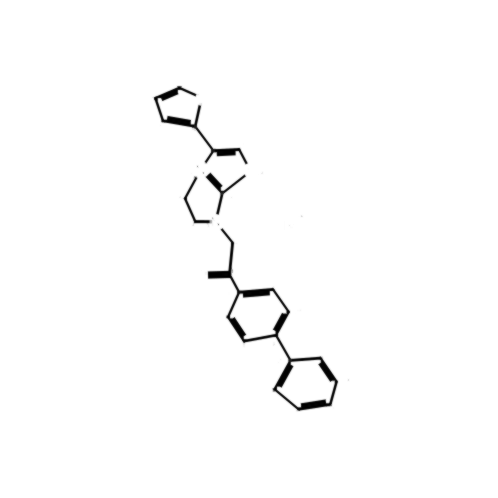 O=C(CN1CC[n+]2c(-c3cccs3)csc21)c1ccc(-c2ccccc2)cc1.[Br-]